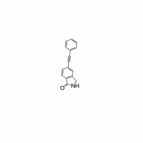 O=C1NCc2cc(C#Cc3ccccc3)ccc21